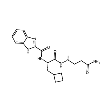 NC(=O)CCNNC(=O)[C@H](CC1CCC1)NC(=O)c1nc2ccccc2[nH]1